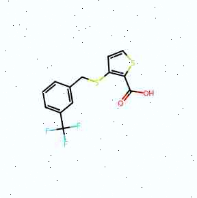 O=C(O)c1sccc1SCc1cccc(C(F)(F)F)c1